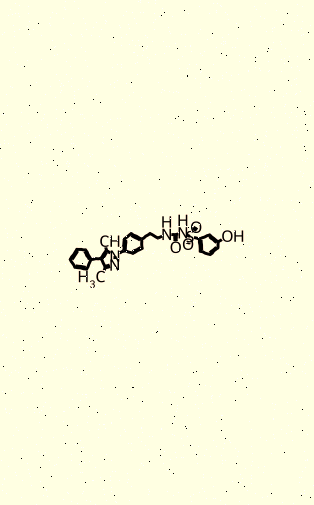 Cc1nn(-c2ccc(CCNC(=O)NS(=O)(=O)c3cccc(O)c3)cc2)c(C)c1-c1ccccc1